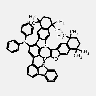 CC1(C)CCC(C)(C)c2cc3c4c(oc3cc21)B1c2c(cc(N(c3ccccc3)c3ccccc3)c3c5cc6c(cc5n-4c23)C(C)(C)CCC6(C)C)-c2cccc3c4ccccc4n1c23